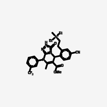 CC[N+](C)(CC)CCc1cc(C#N)ccc1C1C(C(=O)OC)=C(C)N(c2cccc(C(F)(F)F)c2)c2n[nH]c(=O)n21